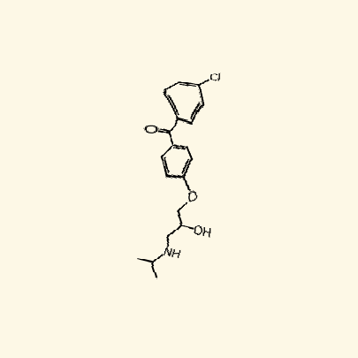 CC(C)NCC(O)COc1ccc(C(=O)c2ccc(Cl)cc2)cc1